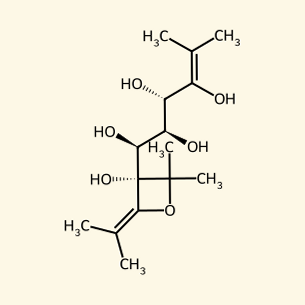 CC(C)=C(O)[C@@H](O)[C@@H](O)[C@H](O)[C@]1(O)C(=C(C)C)OC1(C)C